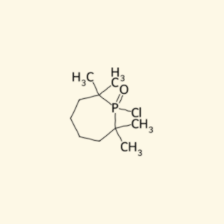 CC1(C)CCCCC(C)(C)P1(=O)Cl